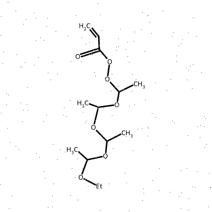 C=CC(=O)OOC(C)OC(C)OC(C)OC(C)OCC